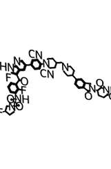 N#Cc1cc(-c2cnc3[nH]cc(C(=O)c4c(F)ccc(NS(=O)(=O)N5CC[C@@H](F)C5)c4F)c3c2)cc(C#N)c1N1CCC(CN2CCC(c3ccc4c(c3)CN([C@H]3CCC(=O)NC3=O)C4=O)CC2)CC1